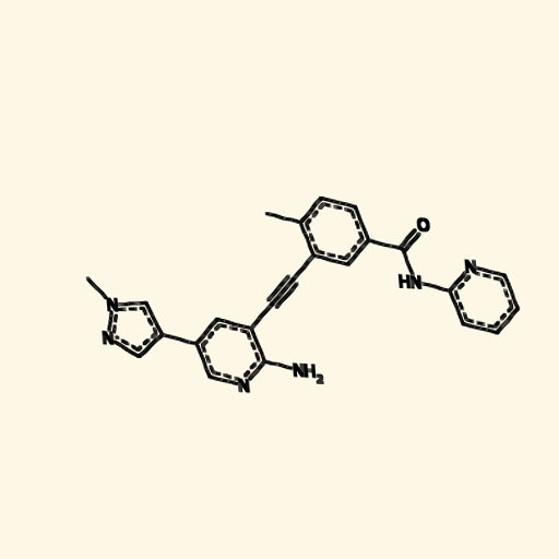 Cc1ccc(C(=O)Nc2ccccn2)cc1C#Cc1cc(-c2cnn(C)c2)cnc1N